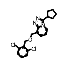 Clc1cccc(Cl)c1COCc1cccn2c(C3CCCC3)nnc12